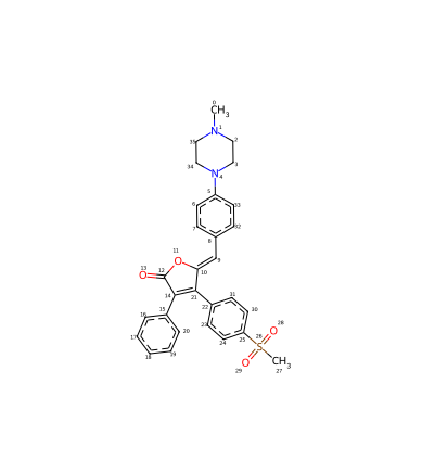 CN1CCN(c2ccc(/C=C3\OC(=O)C(c4ccccc4)=C3c3ccc(S(C)(=O)=O)cc3)cc2)CC1